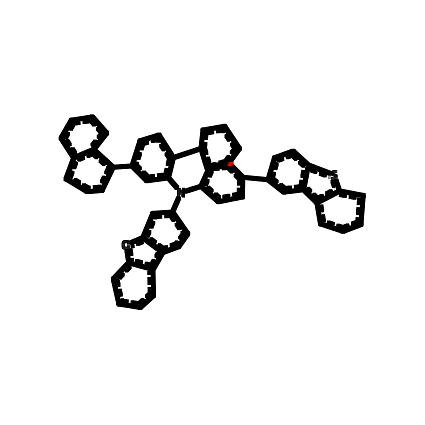 c1ccc(-c2ccc(-c3cccc4ccccc34)cc2N(c2ccc(-c3ccc4sc5ccccc5c4c3)cc2)c2ccc3c(c2)oc2ccccc23)cc1